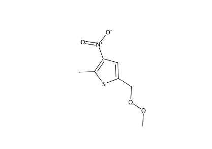 COOCc1cc([N+](=O)[O-])c(C)s1